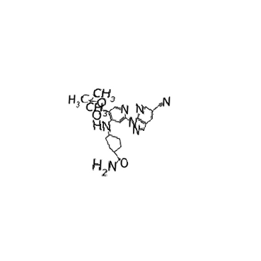 CC(C)(C)OC(=O)c1cnc(-n2ncc3cc(C#N)cnc32)cc1NC1CCC(C(N)=O)CC1